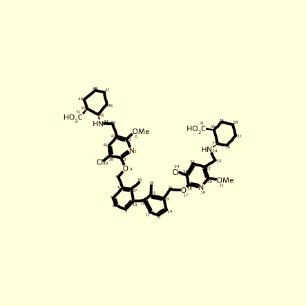 COc1nc(OCc2cccc(-c3cccc(COc4nc(OC)c(CN[C@H]5CCCC[C@@H]5C(=O)O)cc4Cl)c3C)c2C)c(Cl)cc1CN[C@H]1CCCC[C@@H]1C(=O)O